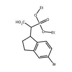 CCOP(=O)(OCC)C(C(=O)O)C1CCc2cc(Br)ccc21